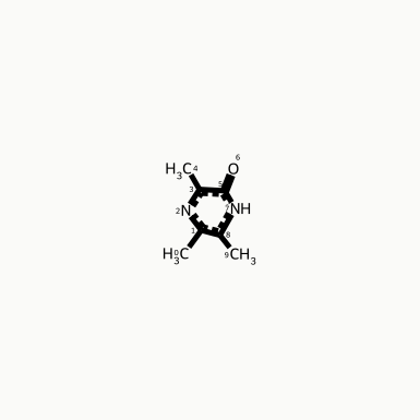 Cc1nc(C)c(=O)[nH]c1C